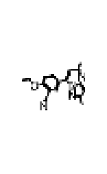 CCOc1ccc(-c2cc(C)nc3cc(C)nn23)cc1C#N